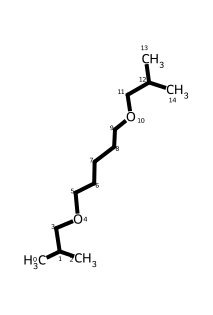 CC(C)COCCCCCOCC(C)C